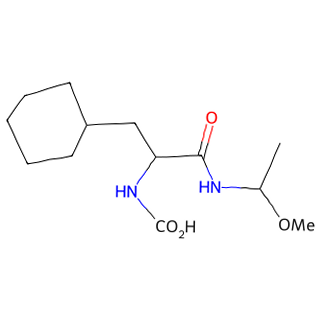 COC(C)NC(=O)C(CC1CCCCC1)NC(=O)O